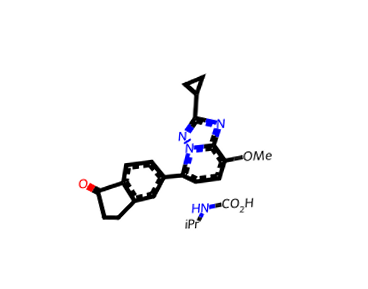 CC(C)NC(=O)O.COc1ccc(-c2ccc3c(c2)CCC3=O)n2nc(C3CC3)nc12